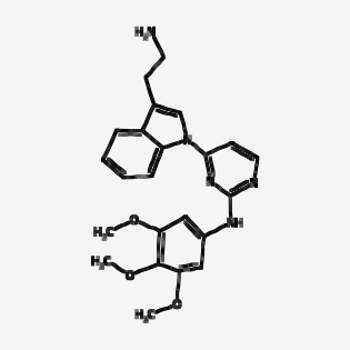 COc1cc(Nc2nccc(-n3cc(CCN)c4ccccc43)n2)cc(OC)c1OC